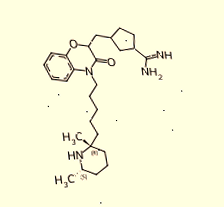 C[C@H]1CCC[C@@](C)(CCCCCN2C(=O)C(CC3CCC(C(=N)N)C3)Oc3ccccc32)N1